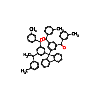 C=C(c1cccc(C)c1)c1cc(C(=O)c2cccc(C)c2)cc(C2(c3cc(C(=O)c4cccc(C)c4)cc(C(=O)c4cccc(C)c4)c3)c3ccccc3-c3ccccc32)c1